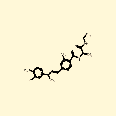 Cc1ccc(C(/C=C/c2ccc(C(=O)NC(C)C(=O)NCC(F)(F)F)c(C(F)(F)F)c2)C(F)(F)F)cc1Cl